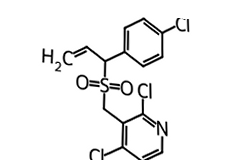 C=CC(c1ccc(Cl)cc1)S(=O)(=O)Cc1c(Cl)ccnc1Cl